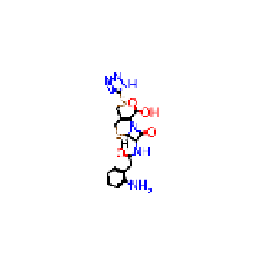 Nc1ccccc1CC(=O)NC1C(=O)N2C(C(=O)O)=C(CSc3nnn[nH]3)CS[C@H]12